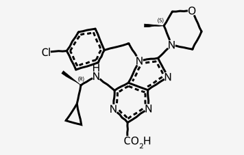 C[C@@H](Nc1nc(C(=O)O)nc2nc(N3CCOC[C@@H]3C)n(Cc3ccc(Cl)cc3)c12)C1CC1